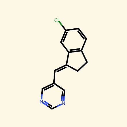 Clc1ccc2c(c1)/C(=C/c1cncnc1)CC2